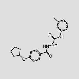 Cc1cccc(NC(=O)NNC(=O)c2ccc(OC3CCCC3)cc2)c1